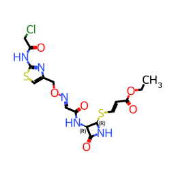 CCOC(=O)C=CS[C@H]1NC(=O)[C@H]1NC(=O)C=NOCc1csc(NC(=O)CCl)n1